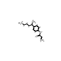 C=CC(=O)Oc1ccc(C(C)CCCC)cc1